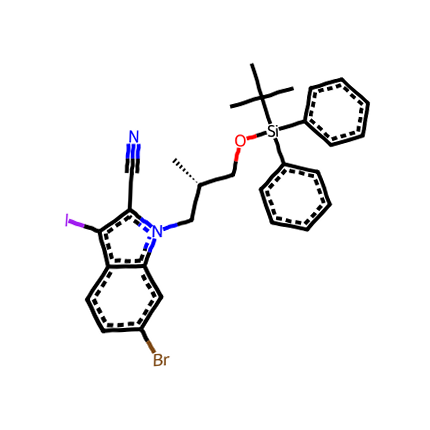 C[C@H](CO[Si](c1ccccc1)(c1ccccc1)C(C)(C)C)Cn1c(C#N)c(I)c2ccc(Br)cc21